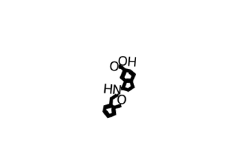 Cc1ccccc1CC(=O)NC1CCc2ccc(C(=O)O)cc21